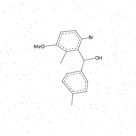 COc1ccc(Br)c(C(O)c2ccc(C)cc2)c1C